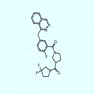 O=C(c1cc(Cc2nncc3ccccc23)ccc1F)N1CCC(C(=O)N2CCC(F)(F)C2)C1